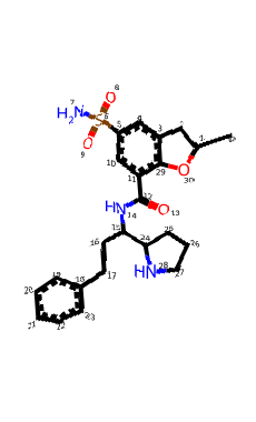 CC1Cc2cc(S(N)(=O)=O)cc(C(=O)NC(CCc3ccccc3)C3CCCN3)c2O1